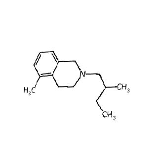 CCC(C)CN1CCc2c(C)cccc2C1